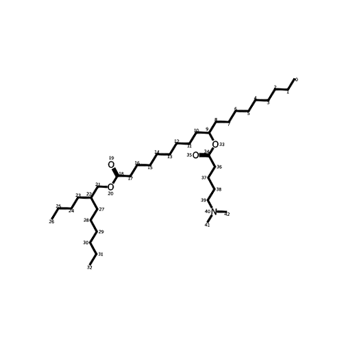 CCCCCCCCCC(CCCCCCCCC(=O)OCC(CCCC)CCCCCC)OC(=O)CCCCN(C)C